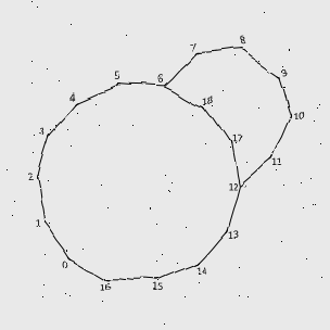 C1CCCCCC2CCCCC[C](CCCC1)CC2